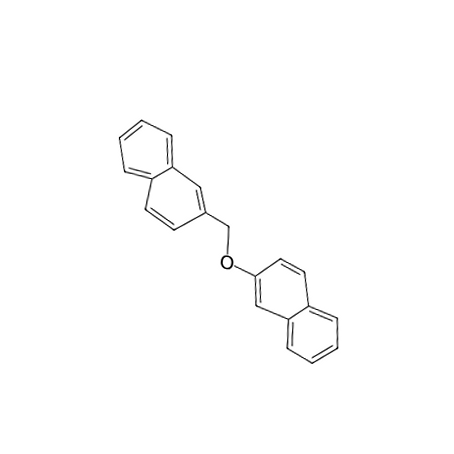 c1ccc2cc(COc3ccc4ccccc4c3)ccc2c1